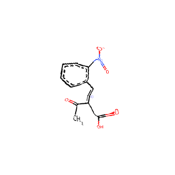 CC(=O)/C(=C\c1ccccc1[N+](=O)[O-])C(=O)O